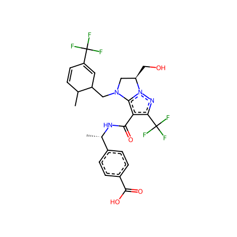 CC1C=CC(C(F)(F)F)=CC1CN1C[C@@H](CO)n2nc(C(F)(F)F)c(C(=O)N[C@@H](C)c3ccc(C(=O)O)cc3)c21